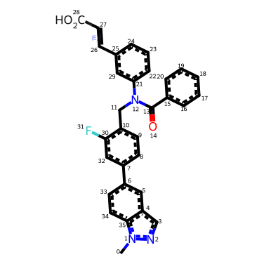 Cn1ncc2cc(-c3ccc(CN(C(=O)c4ccccc4)c4cccc(/C=C/C(=O)O)c4)c(F)c3)ccc21